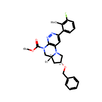 CC[C@]12C[C@@H](OCc3ccccc3)CN1c1cc(-c3cccc(F)c3OC)nnc1N(C(=O)OC(C)(C)C)C2